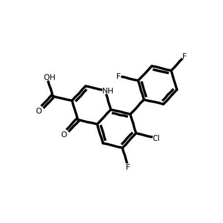 O=C(O)c1c[nH]c2c(-c3ccc(F)cc3F)c(Cl)c(F)cc2c1=O